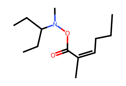 CCCC=C(C)C(=O)ON(C)C(CC)CC